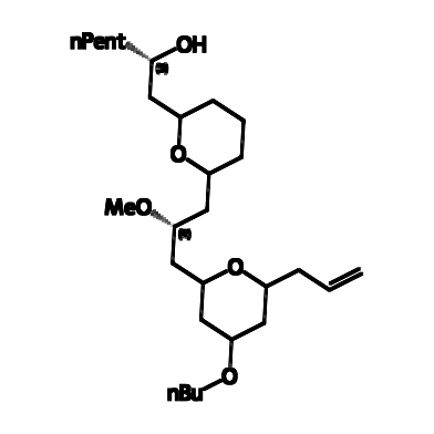 C=CCC1CC(OCCCC)CC(C[C@@H](CC2CCCC(C[C@@H](O)CCCCC)O2)OC)O1